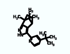 CC(C)(C)c1ccnc(-c2[nH]nc3c2C2CCC3(C)C2(C)C)c1